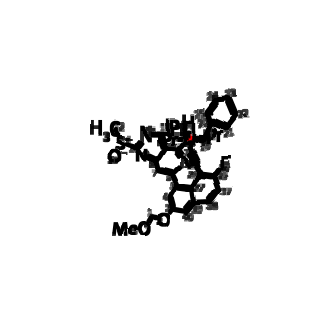 COCOc1cc(-c2cc3nc([S+](C)[O-])ncc3c(NCc3ccccc3)n2)c2c(C#C[Si](C(C)C)(C(C)C)C(C)C)c(F)ccc2c1